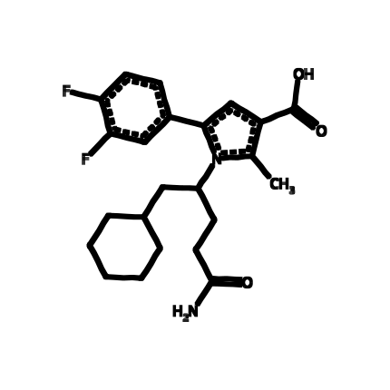 Cc1c(C(=O)O)cc(-c2ccc(F)c(F)c2)n1C(CCC(N)=O)CC1CCCCC1